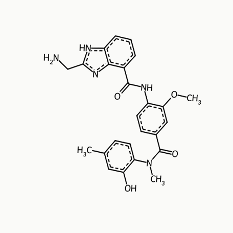 COc1cc(C(=O)N(C)c2ccc(C)cc2O)ccc1NC(=O)c1cccc2[nH]c(CN)nc12